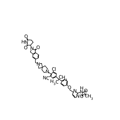 CC(C)(c1ccc(OCc2ccnc(NS(C)(=O)=O)n2)cc1)c1cc(Cl)c(N2CCC3(CC2)CN(Cc2ccc4c(c2)CN(C2CCC(=O)NC2=O)C4=O)C3)c(C#N)c1